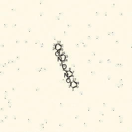 c1ccc(Oc2cccc(COCc3cccc(Oc4ccccc4)n3)n2)cc1